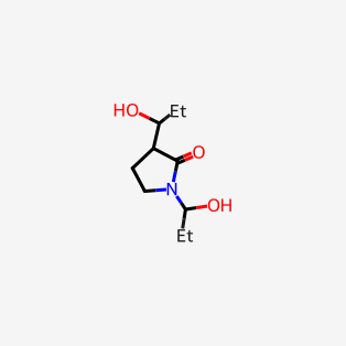 CCC(O)C1CCN(C(O)CC)C1=O